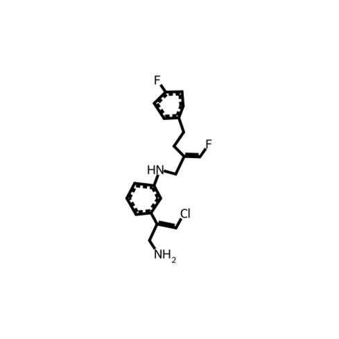 NC/C(=C/Cl)c1cccc(NC/C(=C/F)CCc2ccc(F)cc2)c1